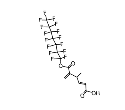 C=C(C(=O)OC(F)(F)C(F)(F)C(F)(F)C(F)(F)C(F)(F)C(F)(F)C(F)(F)F)C(C)C=CC(=O)O